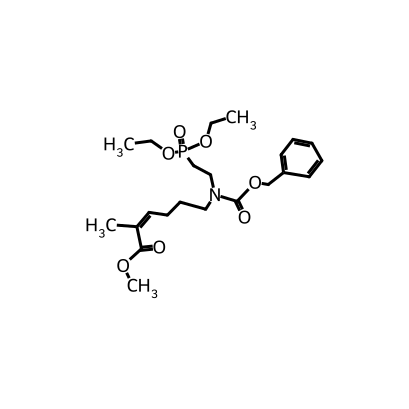 CCOP(=O)(CCN(CCC/C=C(/C)C(=O)OC)C(=O)OCc1ccccc1)OCC